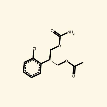 CC(=O)OC[C@@H](COC(N)=O)c1ccccc1Cl